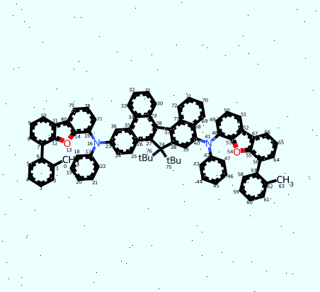 Cc1ccccc1-c1cccc2c1oc1c(N(c3ccccc3)c3ccc4c5c(c6ccccc6c4c3)-c3c(cc(N(c4ccccc4)c4cccc6c4oc4c(-c7ccccc7C)cccc46)c4ccccc34)C5(C(C)(C)C)C(C)(C)C)cccc12